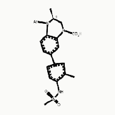 CC(=O)N1c2ccc(-c3ccc(NS(C)(=O)=O)c(C)c3)cc2N(C(=O)O)C[C@@H]1C